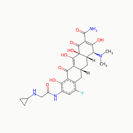 CN(C)[C@@H]1C(O)=C(C(N)=O)C(=O)[C@@]2(O)C(O)=C3C(=O)c4c(O)c(NC(=O)CNC5CC5)cc(F)c4C[C@H]3C[C@@H]12